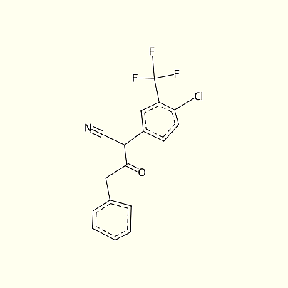 N#CC(C(=O)Cc1ccccc1)c1ccc(Cl)c(C(F)(F)F)c1